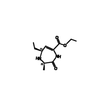 CCOC(=O)C1=C[C@H](CC)N[C@H](C)C(=O)N1